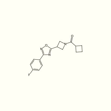 O=C(C1CCC1)N1CC(c2nc(-c3ccc(F)cc3)no2)C1